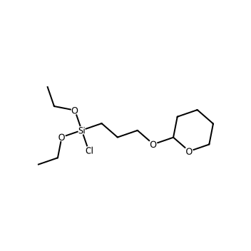 CCO[Si](Cl)(CCCOC1CCCCO1)OCC